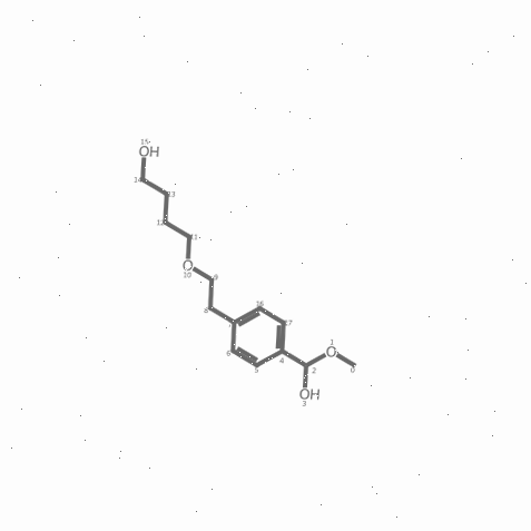 COC(O)c1ccc(CCOCCCCO)cc1